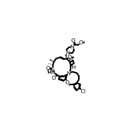 COCC(=O)N1CCN(C[C@]2(OC)/C=C/C[C@H](C)[C@@H](C)S(=O)(=O)NC(=O)c3ccc4c(c3)N(CCCCc3cc(Cl)ccc3CO4)C[C@@H]3CC[C@H]32)CC1